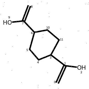 C=C(O)C1CCC(C(=C)O)CC1